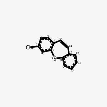 Clc1ccc2c(c1)Sc1ccccc1C=C2